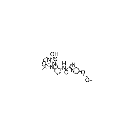 COCCOc1ccn2c(C(=O)Nc3cccc4c3cnn4CC3(C(C)(C)C)CN(C(=O)O)CCO3)cnc2c1